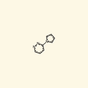 c1cnnc(-n2cccc2)c1